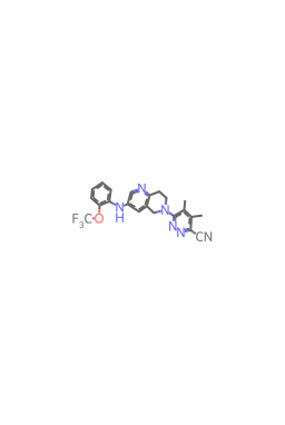 Cc1c(C#N)nnc(N2CCc3ncc(Nc4ccccc4OC(F)(F)F)cc3C2)c1C